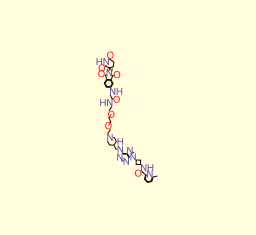 Cc1cccc(C(=O)NC2CC(n3cnc4c(NCC5CCN(CCOCCOCCNC(=O)CNc6ccc7c(c6)C(=O)N([C@@H]6CCC(=O)NC6=O)C7=O)CC5)ncnc43)C2)n1